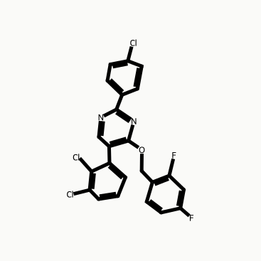 Fc1ccc(COc2nc(-c3ccc(Cl)cc3)ncc2-c2cccc(Cl)c2Cl)c(F)c1